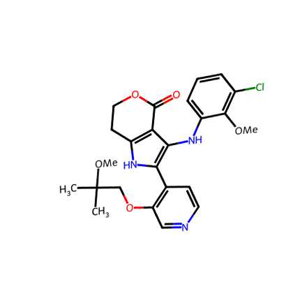 COc1c(Cl)cccc1Nc1c(-c2ccncc2OCC(C)(C)OC)[nH]c2c1C(=O)OCC2